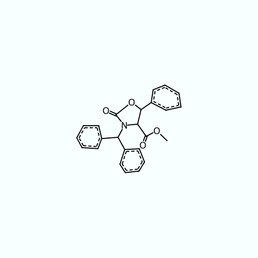 COC(=O)C1C(c2ccccc2)OC(=O)N1C(c1ccccc1)c1ccccc1